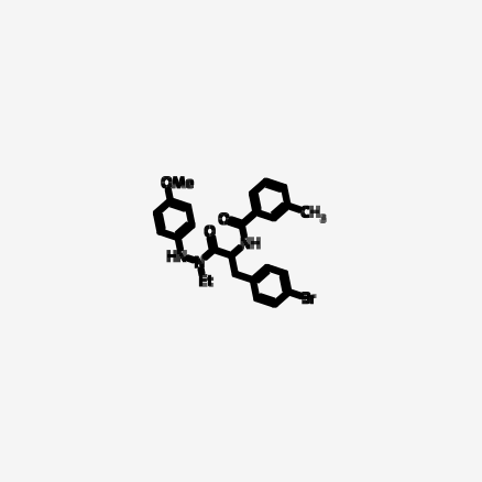 CCN(Nc1ccc(OC)cc1)C(=O)C(Cc1ccc(Br)cc1)NC(=O)c1cccc(C)c1